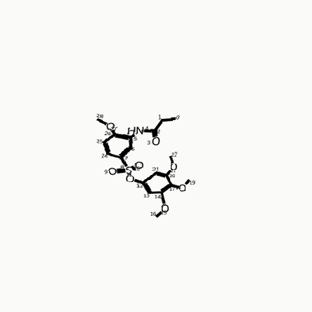 CCC(=O)Nc1cc(S(=O)(=O)Oc2cc(OC)c(OC)c(OC)c2)ccc1OC